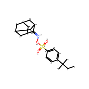 CCC(C)(C)c1ccc(S(=O)(=O)ON=C2C3CC4CC(C3)CC2C4)cc1